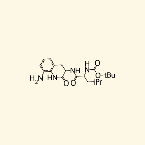 CC(C)CC(NC(=O)OC(C)(C)C)C(=O)NC1Cc2cccc(N)c2NC1=O